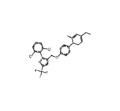 CCC1=CCC(c2ccc(OCc3cc(C(F)(F)F)nn3-c3c(Cl)cccc3Cl)cc2)C(C)=C1